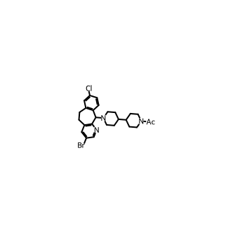 CC(=O)N1CCC(C2CCN(C3c4ccc(Cl)cc4CCc4cc(Br)cnc43)CC2)CC1